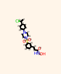 C=C(Cl)c1ccc(N2CCN(S(=O)(=O)c3cccc(/C=C/C(=O)NO)c3)CC2)cc1